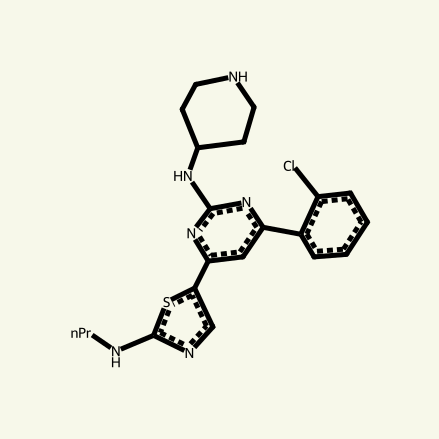 CCCNc1ncc(-c2cc(-c3ccccc3Cl)nc(NC3CCNCC3)n2)s1